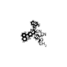 C=CC(=O)N1CCN(C2=C(C#N)C(OC[C@@]34CCCN3C[C@H](F)C4)=NC3C=C(c4cccc5c4CCCC5)C(Cl)=CC23)C[C@@H]1CC#N